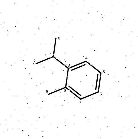 [CH2]C([CH2])c1ccccc1C